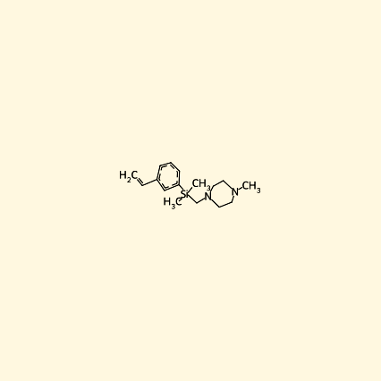 C=Cc1cccc([Si](C)(C)CN2CCN(C)CC2)c1